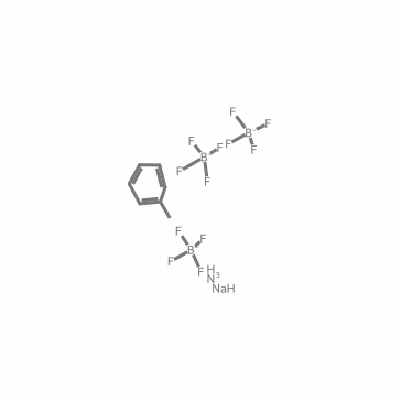 Cc1ccccc1.F[B-](F)(F)F.F[B-](F)(F)F.F[B-](F)(F)F.N.[NaH]